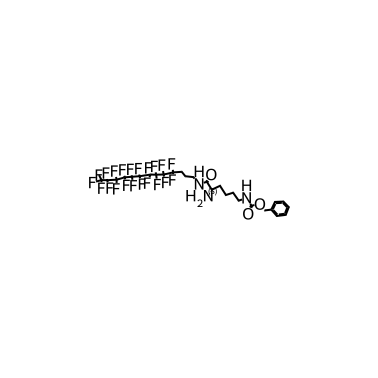 N[C@@H](CCCCNC(=O)OCc1ccccc1)C(=O)NCCCC(F)(F)C(F)(F)C(F)(F)C(F)(F)C(F)(F)C(F)(F)C(F)(F)C(F)(F)C(F)(F)C(F)(F)F